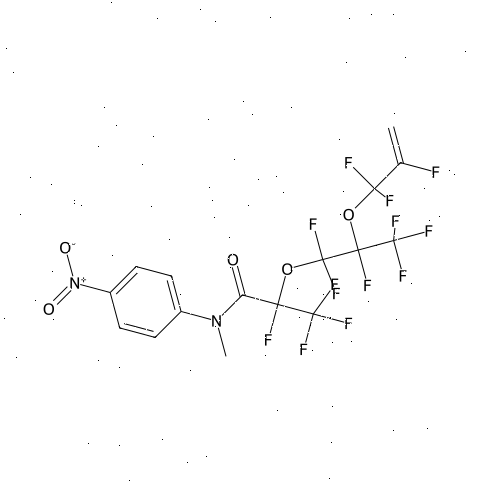 C=C(F)C(F)(F)OC(F)(C(F)(F)F)C(F)(F)OC(F)(C(=O)N(C)c1ccc([N+](=O)[O-])cc1)C(F)(F)F